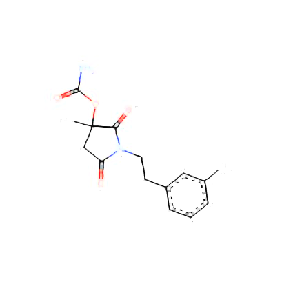 CC(C)(C)C1(OC(N)=O)CC(=O)N(CCc2cccc(C(F)(F)F)c2)C1=O